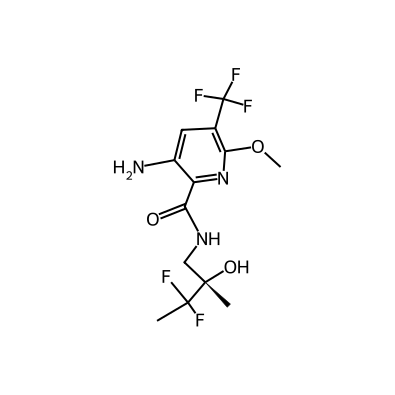 COc1nc(C(=O)NC[C@](C)(O)C(C)(F)F)c(N)cc1C(F)(F)F